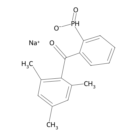 Cc1cc(C)c(C(=O)c2ccccc2[PH](=O)[O-])c(C)c1.[Na+]